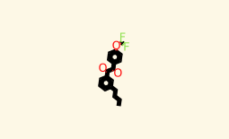 CCCCc1cccc(C(=O)C(=O)c2ccc(OC(F)F)cc2)c1